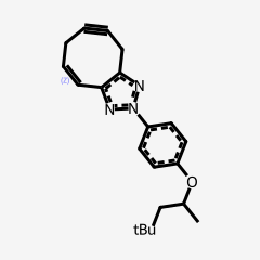 CC(CC(C)(C)C)Oc1ccc(-n2nc3c(n2)CC#CC/C=C\3)cc1